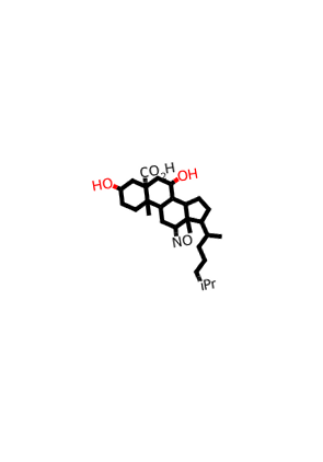 CC(C)CCCC(C)C1CCC2C3C(O)CC4(C(=O)O)CC(O)CCC4(C)C3CC(N=O)C12C